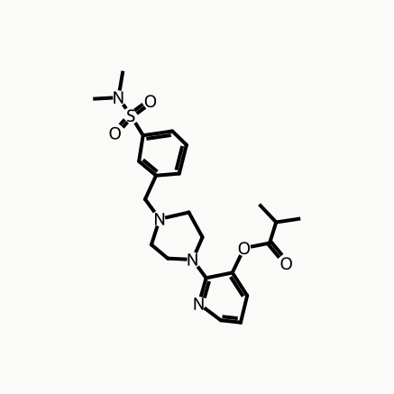 CC(C)C(=O)Oc1cccnc1N1CCN(Cc2cccc(S(=O)(=O)N(C)C)c2)CC1